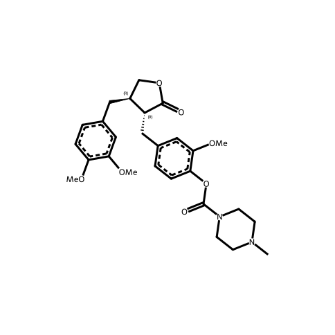 COc1ccc(C[C@H]2COC(=O)[C@@H]2Cc2ccc(OC(=O)N3CCN(C)CC3)c(OC)c2)cc1OC